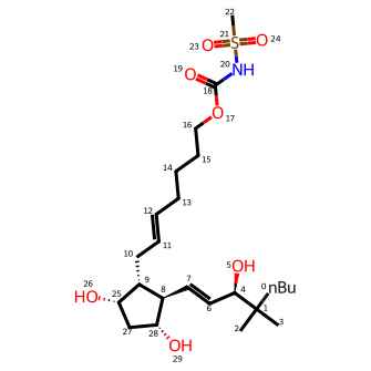 CCCCC(C)(C)[C@H](O)C=C[C@@H]1[C@@H](CC=CCCCCOC(=O)NS(C)(=O)=O)[C@@H](O)C[C@H]1O